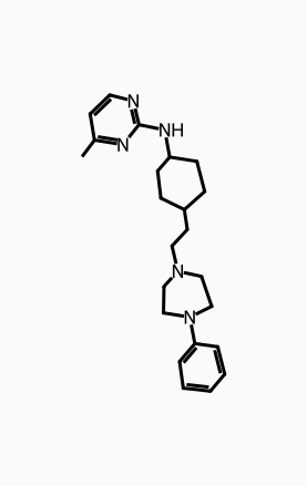 Cc1ccnc(NC2CCC(CCN3CCN(c4ccccc4)CC3)CC2)n1